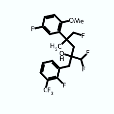 COc1ccc(F)cc1C(C)(CF)CC(O)(Cc1cccc(C(F)(F)F)c1F)C(F)F